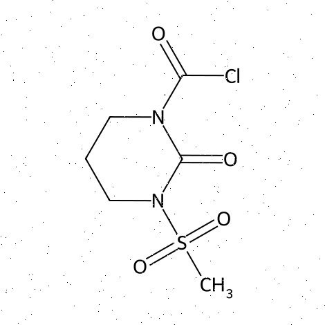 CS(=O)(=O)N1CCCN(C(=O)Cl)C1=O